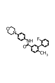 Cc1ccc(C(=O)Nc2ccc(N3CCOCC3)cc2)cc1-c1ccccc1F